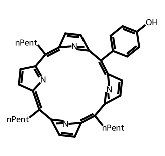 CCCCCC1=C2C=CC(=N2)C(CCCCC)=C2C=CC(=N2)C(c2ccc(O)cc2)=C2C=CC(=N2)C(CCCCC)=C2C=CC1=N2